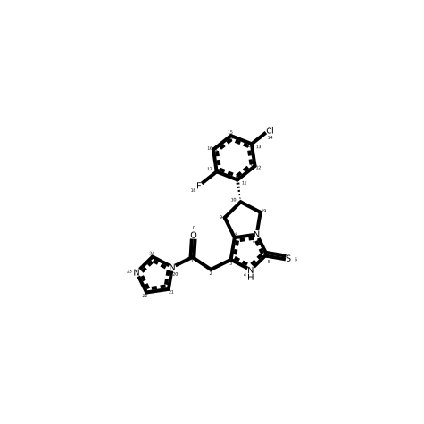 O=C(Cc1[nH]c(=S)n2c1C[C@H](c1cc(Cl)ccc1F)C2)n1ccnc1